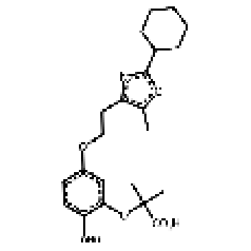 CCCCc1ccc(OCCc2nc(C3CCCCC3)oc2C)cc1OC(C)(C)C(=O)O